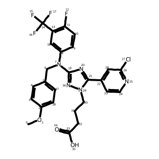 COc1ccc(CN(c2ccc(F)c(C(F)(F)F)c2)c2nc(-c3ccnc(Cl)c3)n(CCCC(=O)O)n2)cc1